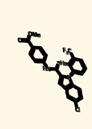 CCCCCCC(Nc1ccc(C(=O)OC)cc1)c1cc2cc(Cl)ccc2n1-c1cccc(C(F)(F)F)c1